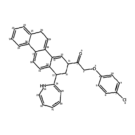 O=C(COc1ccc(Cl)cc1)C1C=c2c(ccc3c2=CCc2ccccc2-3)C(C2=CC=CC=CN2)C1